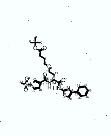 CC(C)(C)OC(=O)CCCOCC[C@H](NC(=O)c1ccn(S(C)(=O)=O)c1)C(=O)Nc1nc(-c2ccccc2)cs1